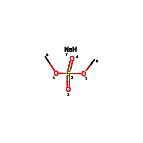 COS(=O)(=O)OC.[NaH]